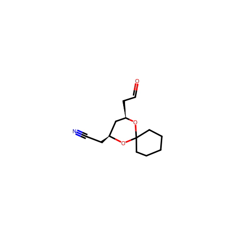 N#CC[C@H]1C[C@@H](CC=O)OC2(CCCCC2)O1